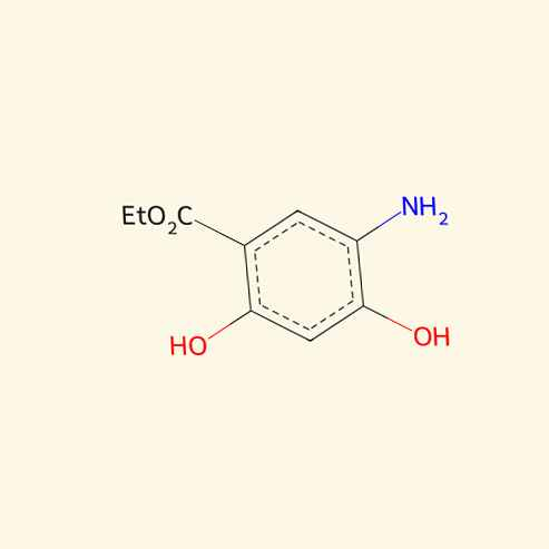 CCOC(=O)c1cc(N)c(O)cc1O